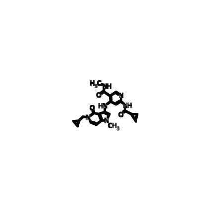 CNC(=O)c1cnc(NC(=O)C2CC2)cc1Nc1cn(C)c2ccn(CC3CC3)c(=O)c12